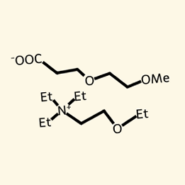 CCOCC[N+](CC)(CC)CC.COCCOCCC(=O)[O-]